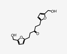 O=C(CCc1ccc(CO)o1)CCc1ccc(CO)o1